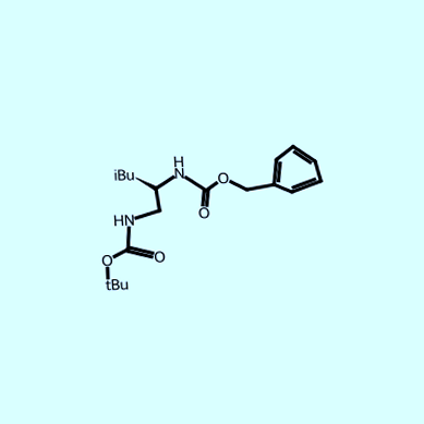 CC[C@H](C)C(CNC(=O)OC(C)(C)C)NC(=O)OCc1ccccc1